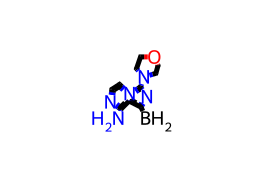 Bc1nc(N2CCOCC2)n2ccnc(N)c12